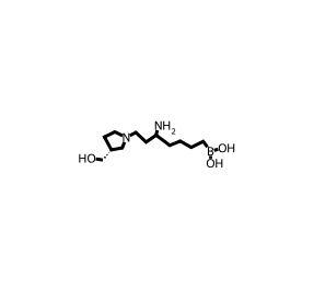 NC(CCCCB(O)O)CCN1CC[C@@H](CO)C1